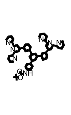 CC(C)(C)OC(=O)Nc1ccc(-c2cc(-c3cccc(-c4cc(-c5ccccn5)nc(-c5ccccn5)c4)c3)cc(-c3cccc(-c4cc(-c5ccccn5)nc(-c5ccccn5)c4)c3)c2)cc1